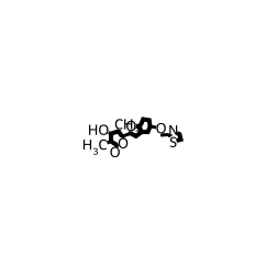 Cc1c(-c2cc3cc(OCc4nccs4)ccc3o2)oc(=O)c(C)c1O